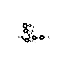 Cc1ccc(CCO)cc1CCO.Cc1ccccc1.Cc1ccccc1.Cc1ccccc1.Cc1ccccc1